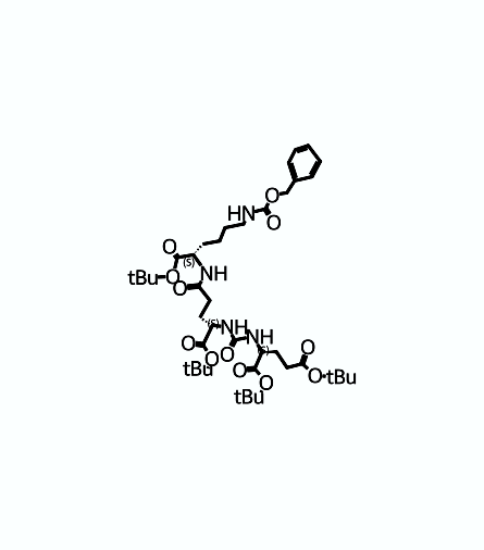 CC(C)(C)OC(=O)CC[C@H](NC(=O)N[C@@H](CCC(=O)N[C@@H](CCCCNC(=O)OCc1ccccc1)C(=O)OC(C)(C)C)C(=O)OC(C)(C)C)C(=O)OC(C)(C)C